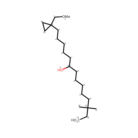 COCC1(CCCCCC(O)CCCCCC(C)(C)CC(=O)O)CC1